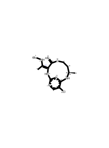 C/C(NC(C)(C)C)=C1\Nc2ncc(Cl)c(n2)N[C@H](C)CCOC1=N